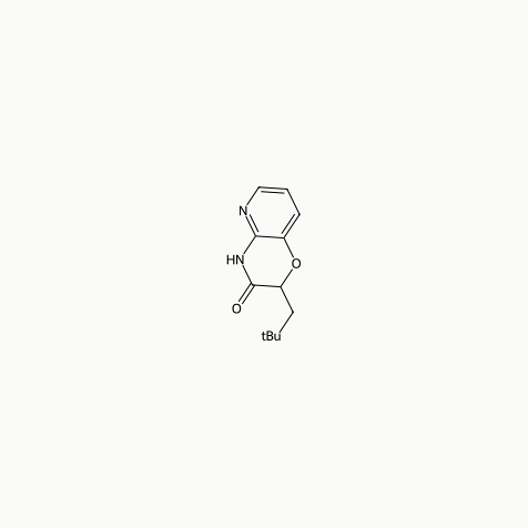 CC(C)(C)CC1Oc2cccnc2NC1=O